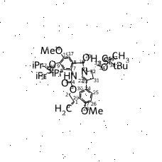 C=CCOC(=O)Nc1cc(O[Si](C(C)C)(C(C)C)C(C)C)c(OC)cc1C(=O)N1C=C(c2ccc(OC)cc2)C[C@H]1CO[Si](C)(C)C(C)(C)C